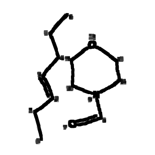 CCC=CCCC.O=CN1CCOCC1